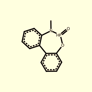 CN1c2ccccc2-c2ccccc2O[PH]1=O